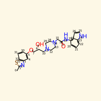 Cc1nc2cc(OC[C@H](O)CN3CCN(CC(=O)Nc4cccc5[nH]ccc45)CC3)ccc2s1